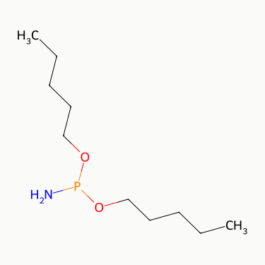 CCCCCOP(N)OCCCCC